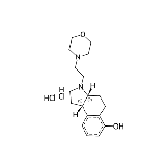 Cl.Cl.Oc1cccc2c1CC[C@@H]1[C@H]2CCN1CCN1CCOCC1